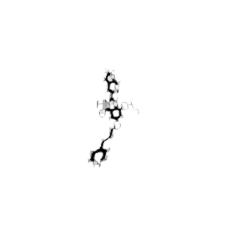 Cc1cc(OCCCc2ccncc2)cc2c(=O)[nH]c(-c3cc4ccsc4cn3)nc12